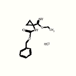 CCOC(=N)C1(NC(=O)OCc2ccccc2)CC1.Cl